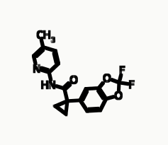 Cc1ccc(NC(=O)C2(c3ccc4c(c3)OC(F)(F)O4)CC2)nc1